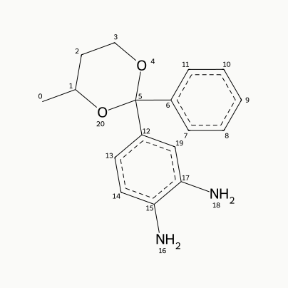 CC1CCOC(c2ccccc2)(c2ccc(N)c(N)c2)O1